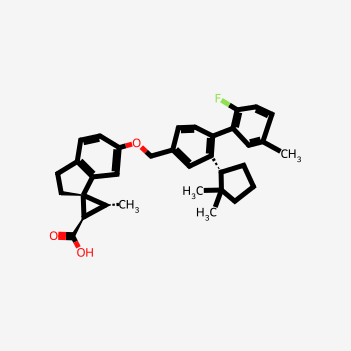 Cc1ccc(F)c(-c2ccc(COc3ccc4c(c3)[C@]3(CC4)[C@H](C)[C@H]3C(=O)O)cc2[C@@H]2CCCC2(C)C)c1